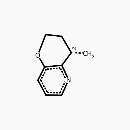 C[C@H]1CCOc2cccnc21